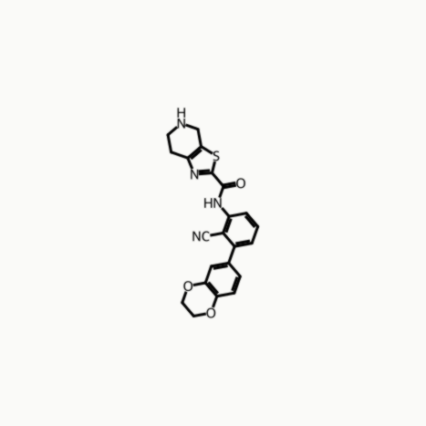 N#Cc1c(NC(=O)c2nc3c(s2)CNCC3)cccc1-c1ccc2c(c1)OCCO2